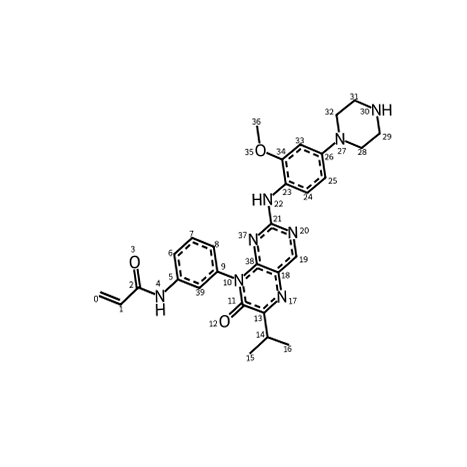 C=CC(=O)Nc1cccc(-n2c(=O)c(C(C)C)nc3cnc(Nc4ccc(N5CCNCC5)cc4OC)nc32)c1